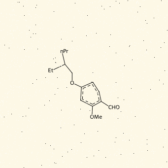 CCCC(CC)COc1ccc(C=O)c(OC)c1